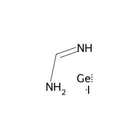 N=CN.[Ge].[I]